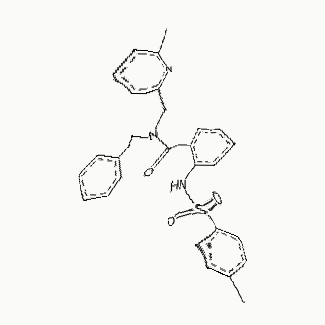 Cc1ccc(S(=O)(=O)Nc2ccccc2C(=O)N(Cc2ccccc2)Cc2cccc(C)n2)cc1